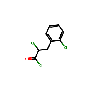 O=C(Cl)C(Cl)Cc1ccccc1Cl